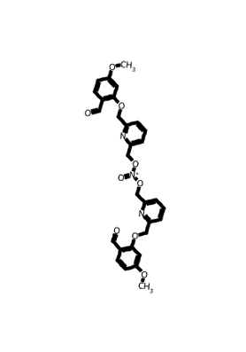 COc1ccc(C=O)c(OCc2cccc(CO[N+](=O)OCc3cccc(COc4cc(OC)ccc4C=O)n3)n2)c1